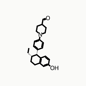 CC[C@H]1CCc2cc(O)ccc2[C@H]1c1ccc(N2CCC(C=O)CC2)cc1